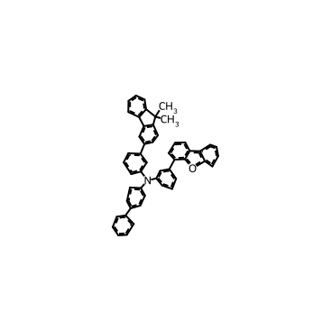 CC1(C)c2ccccc2-c2cc(-c3cccc(N(c4ccc(-c5ccccc5)cc4)c4cccc(-c5cccc6c5oc5ccccc56)c4)c3)ccc21